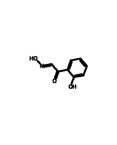 O=C(C=NO)c1ccccc1O